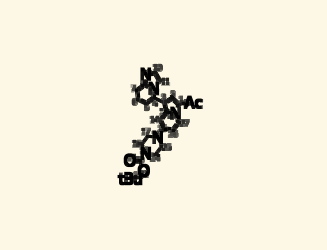 CC(=O)c1cc(-c2cccc3nccn23)c2cc(N3CCN(C(=O)OC(C)(C)C)CC3)ccn12